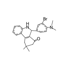 CN(C)c1ccc(C2Nc3ccccc3C3=C2C(=O)CC(C)(C)C3)cc1Br